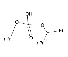 CCCOP(=O)(O)OC(CC)CCC